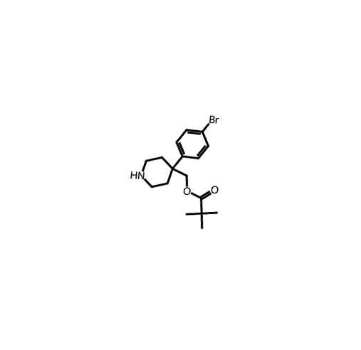 CC(C)(C)C(=O)OCC1(c2ccc(Br)cc2)CCNCC1